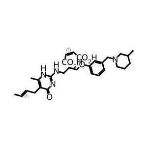 C/C=C/Cc1c(C)[nH]c(NCCCOc2cccc(CN3CCCC(C)C3)c2)nc1=O.O=C(O)/C=C\C(=O)O